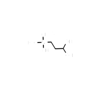 C[N+](C)(C)CCC(O)O.[Cl-]